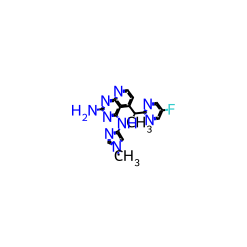 C[C@H](c1ncc(F)cn1)c1ccnc2nc(N)nc(Nc3cn(C)cn3)c12